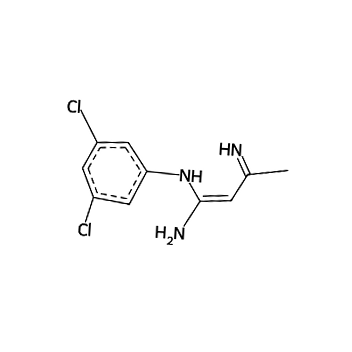 CC(=N)/C=C(/N)Nc1cc(Cl)cc(Cl)c1